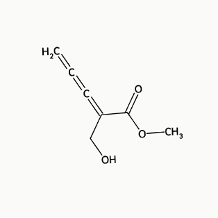 C=C=C=C(CO)C(=O)OC